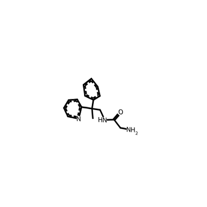 CC(CNC(=O)CN)(c1ccccc1)c1ccccn1